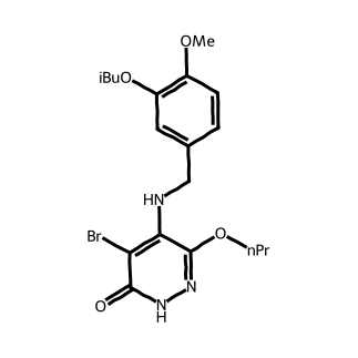 CCCOc1n[nH]c(=O)c(Br)c1NCc1ccc(OC)c(OCC(C)C)c1